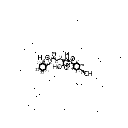 C#Cc1ccc(S(=O)(=O)N[C@H](CCC(=O)N(C)Cc2ccccc2)C(=O)O)cc1